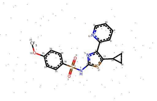 O=S(=O)(Nc1nc(-c2ccccn2)c(C2CC2)s1)c1ccc(OC(F)(F)F)cc1